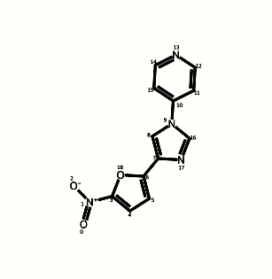 O=[N+]([O-])c1ccc(-c2cn(-c3ccncc3)cn2)o1